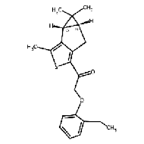 CCc1ccccc1OCC(=O)c1sc(C)c2c1C[C@@H]1[C@H]2C1(C)C